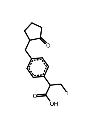 O=C1CCCC1Cc1ccc(C(CI)C(=O)O)cc1